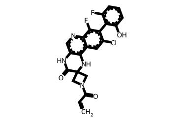 C=CC(=O)N1CC2(C1)Nc1c(cnc3c(F)c(-c4c(O)cccc4F)c(Cl)cc13)NC2=O